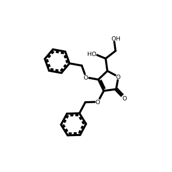 O=C1OC(C(O)CO)C(OCc2ccccc2)=C1OCc1ccccc1